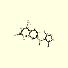 Cc1noc(C)c1N(C)c1ccc2c(C(F)(F)F)cc(=O)oc2c1